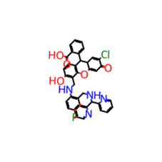 O=C1C=C2Oc3c(ccc(O)c3CNc3ccc(F)cc3CNC(c3ccccn3)c3ccccn3)C(c3ccccc3C(=O)O)C2C=C1Cl